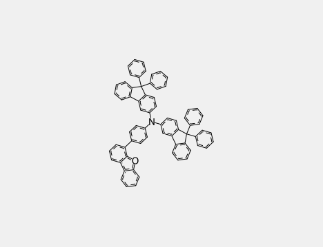 c1ccc(C2(c3ccccc3)c3ccccc3-c3cc(N(c4ccc(-c5cccc6c5oc5ccccc56)cc4)c4ccc5c(c4)-c4ccccc4C5(c4ccccc4)c4ccccc4)ccc32)cc1